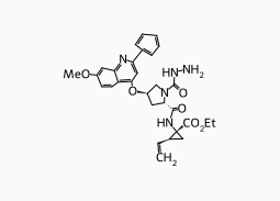 C=C[C@@H]1C[C@]1(NC(=O)[C@@H]1C[C@@H](Oc2cc(-c3ccccc3)nc3cc(OC)ccc23)CN1C(=O)NN)C(=O)OCC